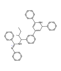 CCC(C)C(N/C(=N\c1ccccc1)c1ccccc1)c1cccc(C2=CC(c3ccccc3)NC(c3ccccc3)=C2)c1